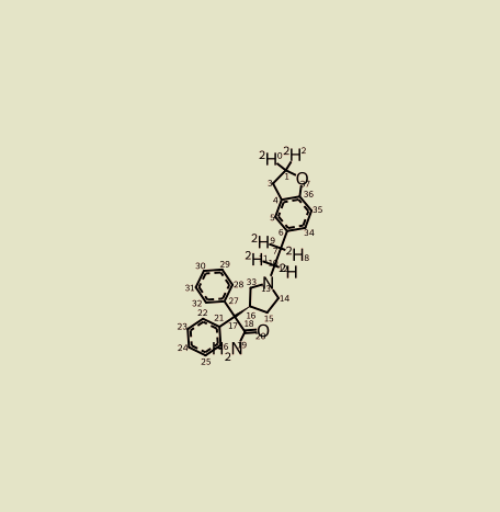 [2H]C1([2H])Cc2cc(C([2H])([2H])C([2H])([2H])N3CC[C@@H](C(C(N)=O)(c4ccccc4)c4ccccc4)C3)ccc2O1